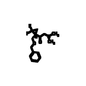 CN(C)CC(=O)[C@]1(COCc2ccccc2)CC1(F)F